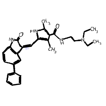 CCN(CC)CCNC(=O)c1c(C)[nH]c(/C=C2\C(=O)Nc3ccc(-c4ccccc4)cc32)c1C